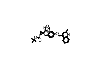 Cc1cc(COc2ccc(C[C@]3(c4ncon4)C[C@@H]3C(=O)OC(C)(C)C)cc2)c2ccccc2n1